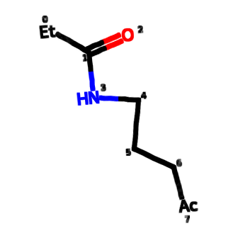 CCC(=O)NCCCC(C)=O